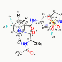 CC(C)(C)[C@@H](NC(=O)C(F)(F)F)C(=O)N1[C@H]2CC[C@@H]([C@@H]1C(=O)N[C@@H](/C=C(/F)S(C)(=O)=O)C[C@@H]1CCNC1=O)C(F)(F)C2